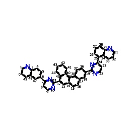 c1cnc2ccc(-c3ccnc(-c4cc5ccc6cc(-c7nccc(-c8cccc9ncccc89)n7)ccc6c5c5ccccc45)n3)cc2c1